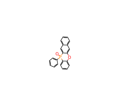 O=P1(c2ccccc2)c2ccccc2Oc2cc3ccccc3cc21